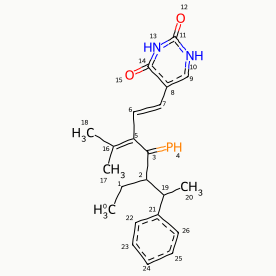 CCC(C(=P)C(/C=C/c1c[nH]c(=O)[nH]c1=O)=C(C)C)C(C)c1ccccc1